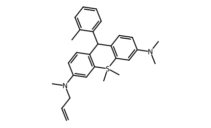 C=CCN(C)c1ccc2c(c1)S(C)(C)c1cc(N(C)C)ccc1C2c1ccccc1C